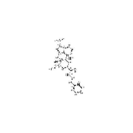 CC(C)n1cc2c3c(cccc31)[C@H]1C[C@@H](C(=O)NCCc3ccccn3)CN(C)[C@@H]1C2.Cl